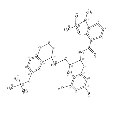 CN(c1cccc(C(=O)NC(Cc2cc(F)cc(F)c2)C(O)CNC2CCCc3ccc(CC(C)(C)C)cc32)c1)S(C)(=O)=O